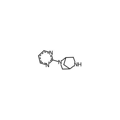 c1cnc(N2CC3CC2CN3)nc1